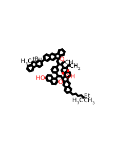 C=Cc1cc(O)ccc1C1=C(C)OC2(C=C1c1cccc(C3=CC4(Oc5ccc6cc(O)ccc6c53)c3ccccc3-c3cc5cc(CCCCC(C)(C)CC)ccc5cc34)c1)c1ccccc1-c1cc3ccc(-c4ccc5c(c4)C(C)(C(C)(C)C)c4ccccc4-5)cc3cc12